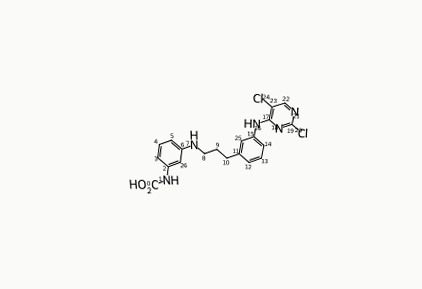 O=C(O)Nc1cccc(NCCCc2cccc(Nc3nc(Cl)ncc3Cl)c2)c1